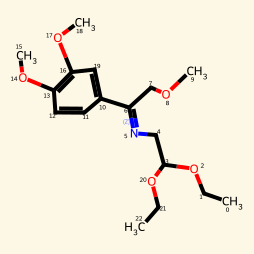 CCOC(C/N=C(\COC)c1ccc(OC)c(OC)c1)OCC